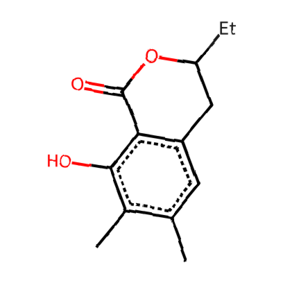 CCC1Cc2cc(C)c(C)c(O)c2C(=O)O1